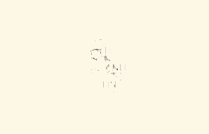 CC(C)NCS(=O)(=O)NC(=O)Nc1c2c(cc3c1CCC3)CCC2